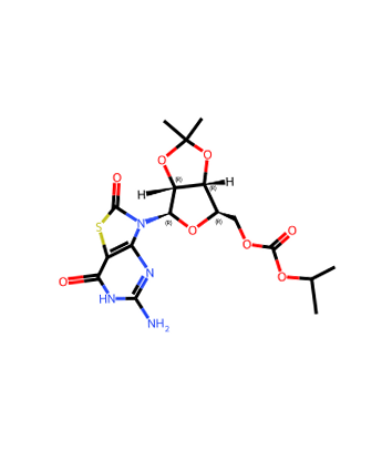 CC(C)OC(=O)OC[C@H]1O[C@@H](n2c(=O)sc3c(=O)[nH]c(N)nc32)[C@@H]2OC(C)(C)O[C@@H]21